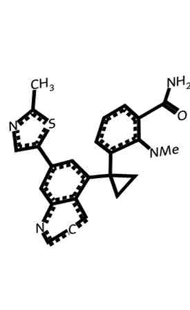 CNc1c(C(N)=O)cccc1C1(c2cc(-c3cnc(C)s3)cc3ncccc23)CC1